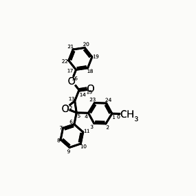 Cc1ccc(C2(c3ccccc3)OC2C(=O)Oc2ccccc2)cc1